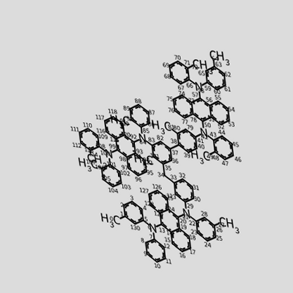 Cc1cccc(N(c2ccccc2)c2c3ccccc3c(N(c3cccc(C)c3)c3cccc(Cc4cc(-c5ccc(N(c6ccccc6C)c6c7ccccc7c(N(c7cccc(C)c7)c7ccccc7C)c7ccccc67)cc5C)cc(N(c5ccccc5C)c5c6ccccc6c(N(c6ccccc6C)c6ccccc6C)c6ccccc56)c4C)c3)c3ccccc23)c1